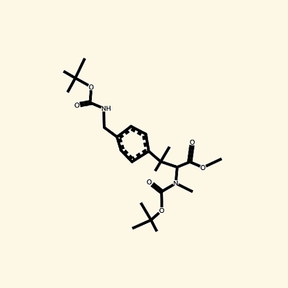 COC(=O)C(N(C)C(=O)OC(C)(C)C)C(C)(C)c1ccc(CNC(=O)OC(C)(C)C)cc1